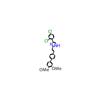 COc1ccc(-c2ccc(/C=C/c3nc(-c4ccc(Cl)cc4Cl)c[nH]3)cc2)cc1OC